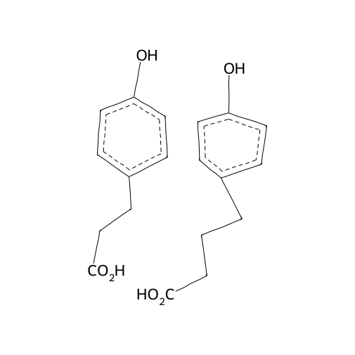 O=C(O)CCCc1ccc(O)cc1.O=C(O)CCc1ccc(O)cc1